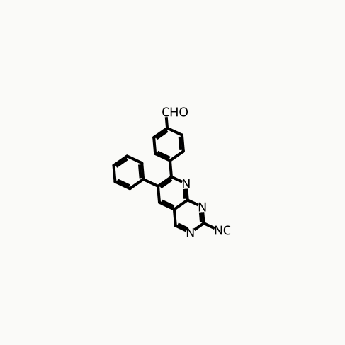 [C-]#[N+]c1ncc2cc(-c3ccccc3)c(-c3ccc(C=O)cc3)nc2n1